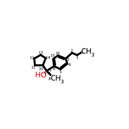 CCCc1ccc(C(C)(O)C2CCCC2)cc1